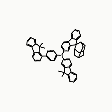 CC1(C)c2ccccc2-c2ccc(N(c3ccc(-c4cccc5c4C(C)(C)c4ccccc4-5)cc3)c3ccc4c(c3)C3(c5ccccc5-4)C4CC5CC(C4)CC3C5)cc21